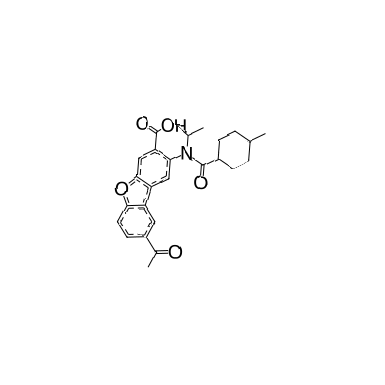 CC(=O)c1ccc2oc3cc(C(=O)O)c(N(C(=O)C4CCC(C)CC4)C(C)C)cc3c2c1